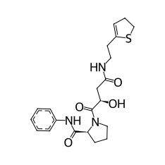 O=C(C[C@@H](O)C(=O)N1CCC[C@H]1C(=O)Nc1ccccc1)NCCC1=CCCS1